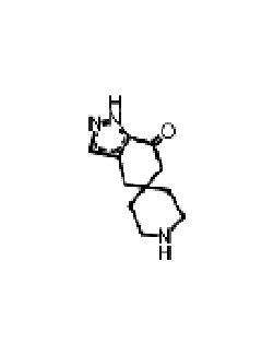 O=C1CC2(CCNCC2)Cc2cn[nH]c21